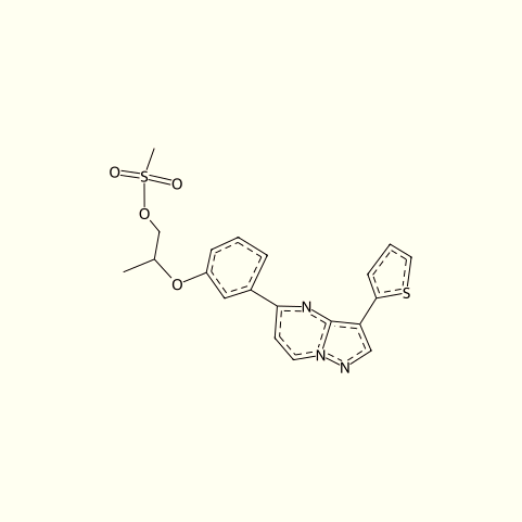 CC(COS(C)(=O)=O)Oc1cccc(-c2ccn3ncc(-c4cccs4)c3n2)c1